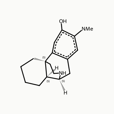 CNc1cc2c(cc1O)[C@]13CCCC[C@@H]1[C@H](C2)NCC3